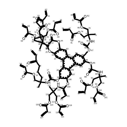 C=CC(=O)CCCC(C)(COC(=O)C=C)NC(=O)Oc1cc2c3cc(OC(=O)NC(C)(COC(=O)C=C)COC(=O)C=C)c(OC(=O)NC(C)(COC(=O)C=C)COC(=O)C=C)cc3c3cc(OC(=O)NC(C)(COC(=O)C=C)COC(=O)C=C)c(OC(=O)NC(C)(COC(=O)C=C)COC(=O)C=C)cc3c2cc1OC(=CC)NC(C)(COC(=O)C=C)COC(=O)C=C